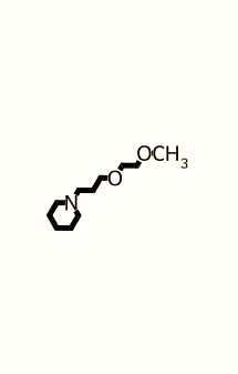 COCCOCCCN1CCCCC1